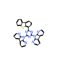 c1ccc2c(c1)sc1c(-c3nc(-n4c5ncccc5c5cccnc54)nc(-n4c5ncccc5c5cccnc54)n3)cccc12